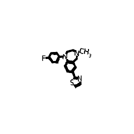 CN1CCN(c2ccc(F)cc2)c2ccc(-c3nccs3)cc2C1